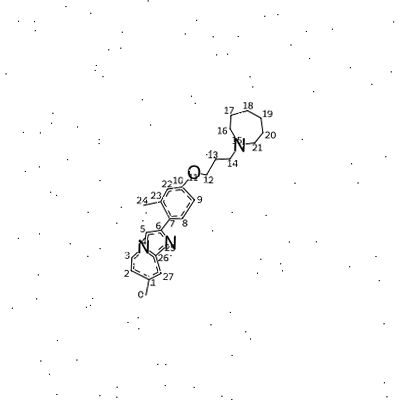 Cc1ccn2cc(-c3ccc(OCCCN4CCCCCC4)cc3C)nc2c1